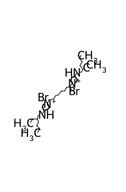 CCCCC(CC)CNc1cc[n+](C(Br)CCCCCCC(Br)[n+]2ccc(NCC(CC)CCCC)cc2)cc1